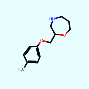 FC(F)(F)c1ccc(OCC2CNCCCO2)cc1